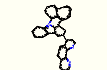 c1cnc2c(c1)ccc1c(-c3cc4c5cccc6cccc(c65)n5c6ccccc6c(c3)c45)ccnc12